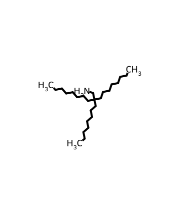 CCCCCCCCC(CN)(CCCCCCCC)CCCCCCCC